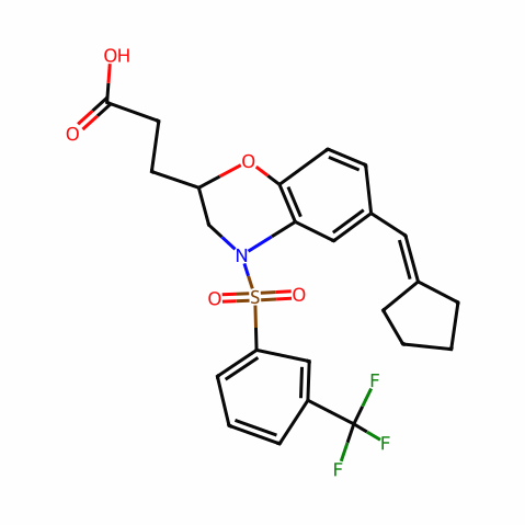 O=C(O)CCC1CN(S(=O)(=O)c2cccc(C(F)(F)F)c2)c2cc(C=C3CCCC3)ccc2O1